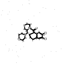 O=C(C1CCCc2cc(Cl)c(Cl)cc21)N1CCSCC1CN1CCOCC1